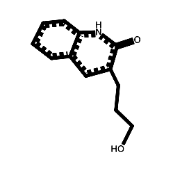 O=c1[nH]c2ccccc2cc1CCCO